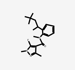 Cc1nn(C)c(F)c1C(=O)N(C)c1ccccc1C(C)CC(C)(C)C